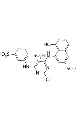 O=S(=O)(O)c1ccc(S(=O)(=O)O)c(Nc2nc(Cl)nc(Nc3cc(S(=O)(=O)O)cc4cccc(O)c34)n2)c1